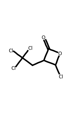 O=C1OC(Cl)C1CC(Cl)(Cl)Cl